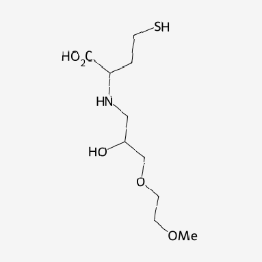 COCCOCC(O)CNC(CCS)C(=O)O